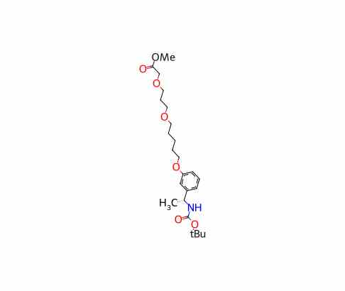 COC(=O)COCCCOCCCCCOc1cccc([C@@H](C)NC(=O)OC(C)(C)C)c1